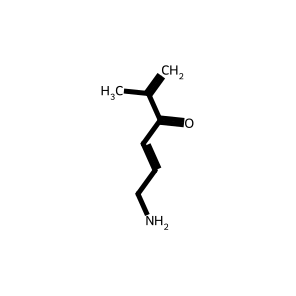 C=C(C)C(=O)C=CCN